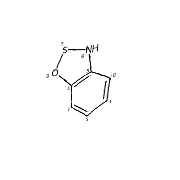 [c]1cccc2c1NSO2